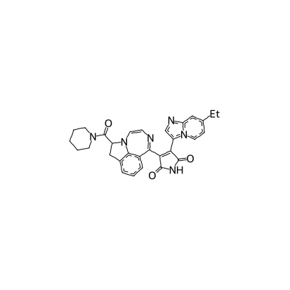 CCc1ccn2c(C3=C(C4=NC=CN5c6c(cccc64)CC5C(=O)N4CCCCC4)C(=O)NC3=O)cnc2c1